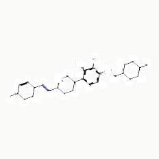 CC1C=CC(/C=C/C2CCC(c3ccc(OCC4CCC(C)CC4)c(F)c3F)CO2)CC1